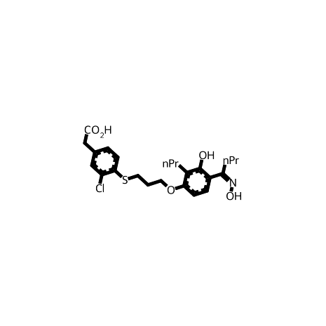 CCC/C(=N/O)c1ccc(OCCCSc2ccc(CC(=O)O)cc2Cl)c(CCC)c1O